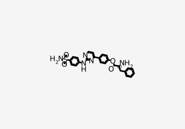 N[C@H](Cc1ccccc1)C(=O)Oc1ccc(-c2ccnc(Nc3ccc(S(N)(=O)=O)cc3)n2)cc1